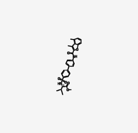 COC(=O)[C@@H](NS(=O)(=O)c1ccc(-c2ccc(NC(=O)c3oc4cccc(C)c4c3C)cc2)cc1)C(C)C